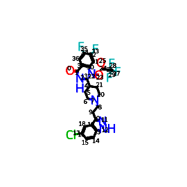 O=C1NC(C2CCN(CCc3n[nH]c4ccc(Cl)cc34)CC2)N(OC(=O)C(F)(F)F)c2cc(F)c(F)cc21